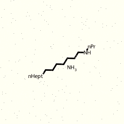 CCCCCCCCCCCCCCNCCC.N